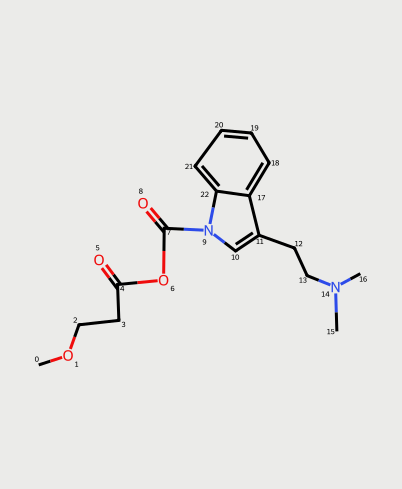 COCCC(=O)OC(=O)n1cc(CCN(C)C)c2ccccc21